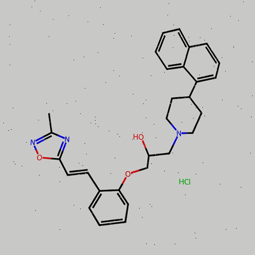 Cc1noc(C=Cc2ccccc2OCC(O)CN2CCC(c3cccc4ccccc34)CC2)n1.Cl